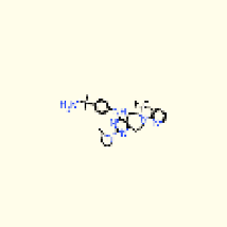 CC1CCCN1c1nc2c(c(Nc3ccc(C(C)(C)CN)cc3)n1)CCN(c1ncccc1C(F)(F)F)CC2